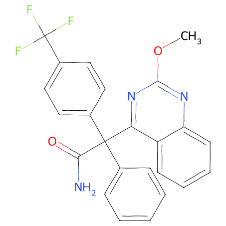 COc1nc(C(C(N)=O)(c2ccccc2)c2ccc(C(F)(F)F)cc2)c2ccccc2n1